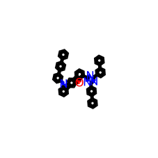 c1ccc(-c2ccc(-c3cccc(-n4c5ccccc5c5cc6oc7c(-c8nc(-c9ccc(-c%10ccccc%10)cc9)nc(-c9cccc(-c%10ccccc%10)c9)n8)cccc7c6cc54)c3)cc2)cc1